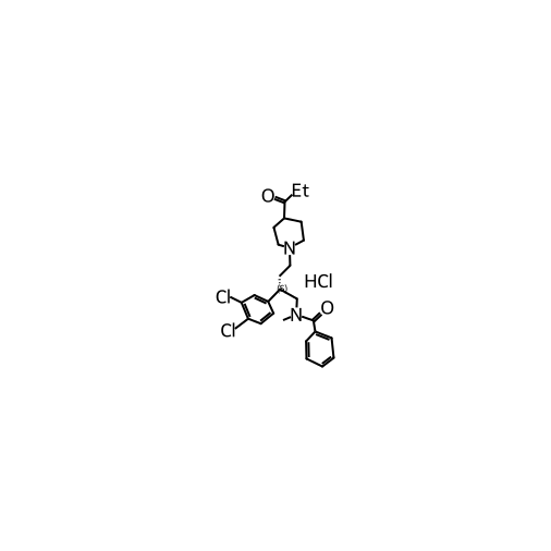 CCC(=O)C1CCN(CC[C@H](CN(C)C(=O)c2ccccc2)c2ccc(Cl)c(Cl)c2)CC1.Cl